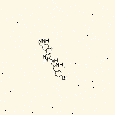 N[C@H](CNc1nnc(-c2cc3cn[nH]c3cc2F)s1)Cc1ccc(Br)cc1